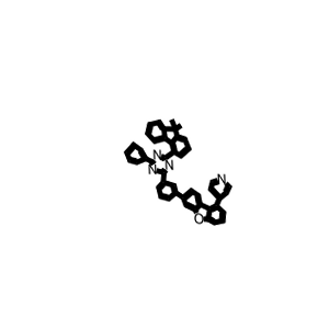 CC1(C)c2ccccc2-c2c(-c3nc(-c4ccccc4)nc(-c4cccc(-c5ccc6c(c5)oc5cccc(-c7ccncc7)c56)c4)n3)cccc21